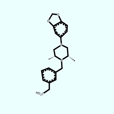 C[C@@H]1CN(c2ccc3c(c2)OCO3)C[C@H](C)N1Cc1cccc(CC(=O)O)c1